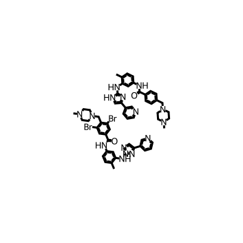 Cc1ccc(NC(=O)c2cc(Br)c(CN3CCN(C)CC3)c(Br)c2)cc1Nn1ncc(-c2cccnc2)n1.Cc1ccc(NC(=O)c2ccc(CN3CCN(C)CC3)cc2)cc1Nc1nc(-c2cccnc2)c[nH]1